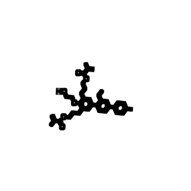 C=C(C)C(=O)OCCCc1cc(-c2ccc(-c3ccc(C)cc3)cc2CC)cc(CCCOC(=O)C(=C)C)c1OCCO